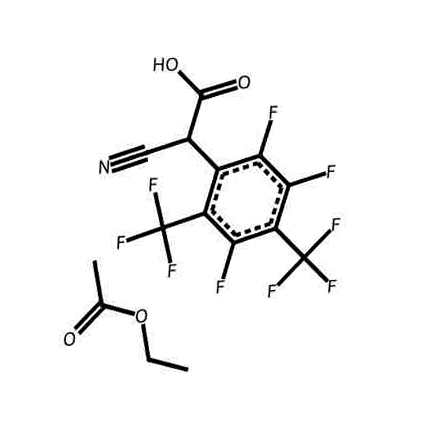 CCOC(C)=O.N#CC(C(=O)O)c1c(F)c(F)c(C(F)(F)F)c(F)c1C(F)(F)F